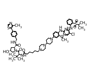 COc1cc(N2CCC(N3CCN(CCCCCC(=O)NC(C(=O)N4C[C@H](O)C[C@H]4C(=O)NCc4ccc(-c5scnc5C)cc4)C(C)(C)C)CC3)CC2)ccc1Nc1ncc(Cl)c(Nc2ccccc2S(=O)(=O)C(C)C)n1